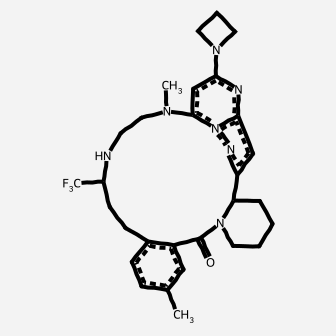 Cc1ccc2c(c1)C(=O)N1CCCCC1c1cc3nc(N4CCC4)cc(n3n1)N(C)CCNC(C(F)(F)F)CC2